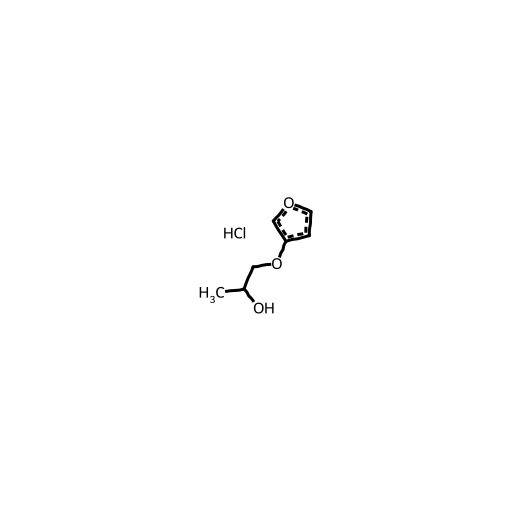 CC(O)COc1ccoc1.Cl